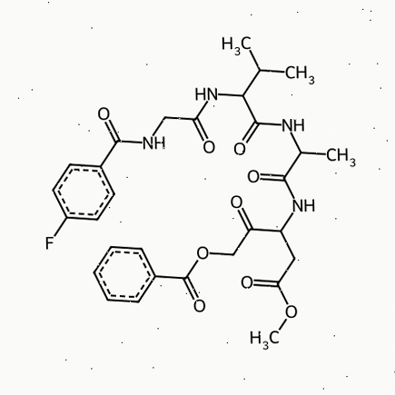 COC(=O)CC(NC(=O)C(C)NC(=O)C(NC(=O)CNC(=O)c1ccc(F)cc1)C(C)C)C(=O)COC(=O)c1ccccc1